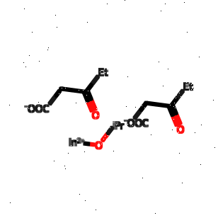 CC(C)[O][In+2].CCC(=O)CC(=O)[O-].CCC(=O)CC(=O)[O-]